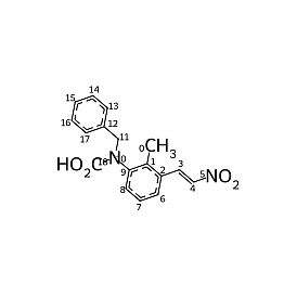 Cc1c(C=C[N+](=O)[O-])cccc1N(Cc1ccccc1)C(=O)O